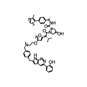 Cc1ncsc1-c1ccc([C@H](C)NC(=O)[C@@H]2C[C@@H](O)CN2C(=O)[C@@H](c2cc(OCCN(C)Cc3ccc(Cc4cc5cc(-c6ccccc6O)nnc5[nH]4)cc3)no2)C(C)C)cc1